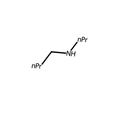 [CH2]CCCNCCC